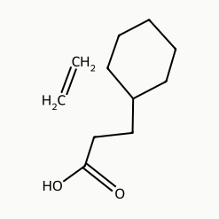 C=C.O=C(O)CCC1CCCCC1